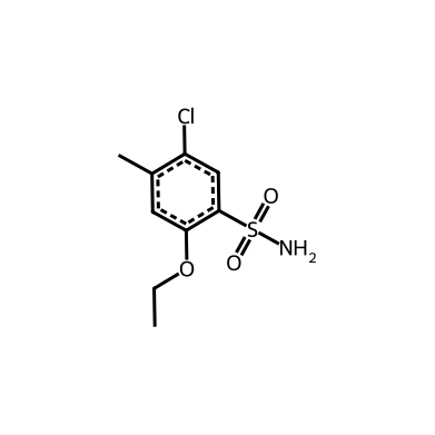 CCOc1cc(C)c(Cl)cc1S(N)(=O)=O